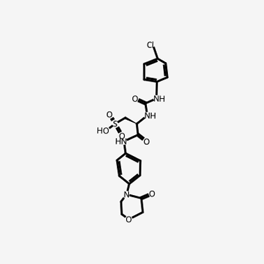 O=C(Nc1ccc(Cl)cc1)N[C@H](CS(=O)(=O)O)C(=O)Nc1ccc(N2CCOCC2=O)cc1